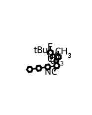 Cc1ccc2c(oc3c(-c4ccc(-c5ccc(-c6ccccc6)cc5)cc4)c(C#N)ccc32)c1-c1cc(F)c(C(C)(C)C)c[n+]1C